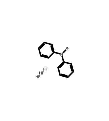 F.F.F.[S]N(c1ccccc1)c1ccccc1